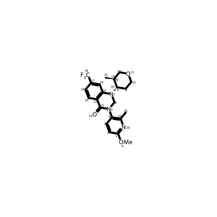 COc1ccc(N2CN([C@H]3CCOC[C@@H]3C)c3cc(C(F)(F)F)ccc3C2=O)c(C)n1